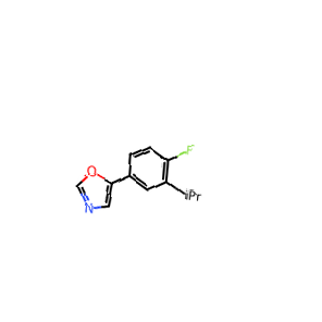 CC(C)c1cc(-c2cnco2)ccc1F